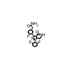 NC(=O)Cc1ccc(F)c(-c2nn(-c3c(F)cccc3F)c3cc[nH]c(=O)c23)c1